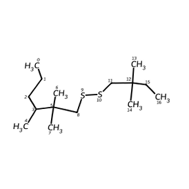 CCCC(C)C(C)(C)CSSCC(C)(C)CC